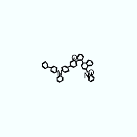 c1ccc(-c2ccc(N(c3ccccc3)c3ccc(-c4ccc5c(c4)oc4cccc(-c6ccc(-c7nc8ccccc8o7)c7ccccc67)c45)cc3)cc2)cc1